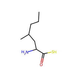 CCCC(C)CC(N)C(=O)S